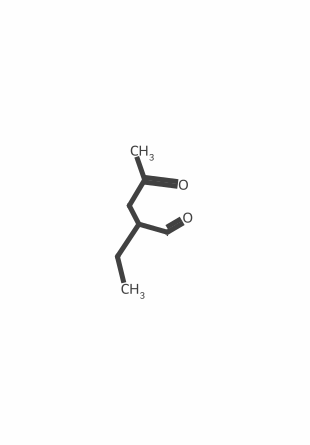 CCC([C]=O)CC(C)=O